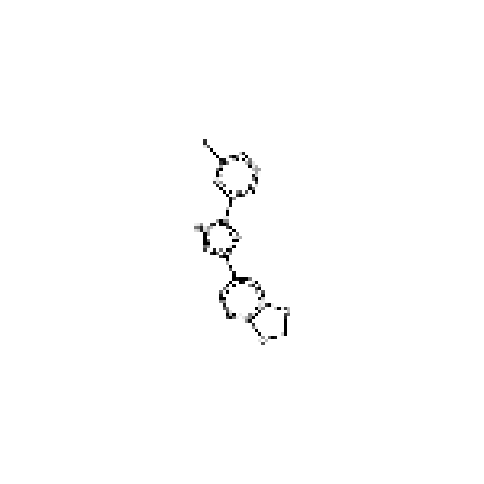 Fc1cncc(-c2cc(-c3ccc4c(c3)OCO4)n[nH]2)c1